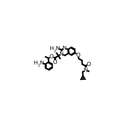 CC(OC(=O)C(C)(C)N1Cc2cc(OCCCC(=O)N(C)CC3CC3)ccc2N=C1N)c1ccccc1N